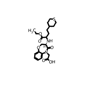 CCOC(=O)C(CCC1CCSCC1)N[C@H]1COc2ccccc2N(CC(=O)O)C1=O